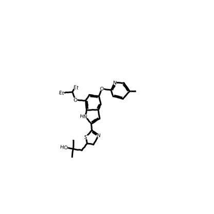 CCC(CC)Oc1cc(Oc2ccc(C)cn2)cc2cc(C3=NCC(CC(C)(C)O)S3)[nH]c12